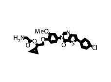 COc1cc(-n2cnc3cc(-c4ccc(Cl)cc4)sc3c2=O)ccc1OCC(OC(=O)CN)C1CC1